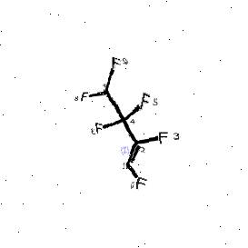 F/[C]=C(\F)C(F)(F)[C](F)F